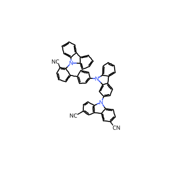 N#Cc1ccc2c(c1)c1cc(C#N)ccc1n2-c1ccc2c3ccccc3n(-c3ccc(-c4cccc(C#N)c4-n4c5ccccc5c5ccccc54)cc3)c2c1